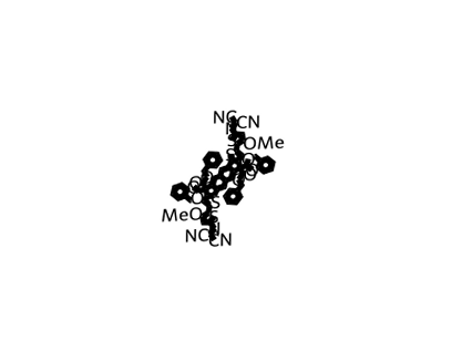 COc1cc(N=C(C#N)C#N)sc1-c1cc2c(s1)C1=CC3C=C4C(=CC3C=C1C2(C(=O)OCc1ccccc1)C(=O)OCc1ccccc1)c1sc(-c2sc(N=C(C#N)C#N)cc2OC)cc1C4(C(=O)OCc1ccccc1)C(=O)OCc1ccccc1